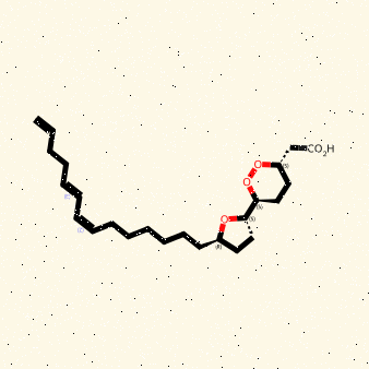 C=CCC/C=C/C=C\CCCCCC[C@@H]1CC[C@@H]([C@@H]2CC[C@@H](CC(=O)O)OO2)O1